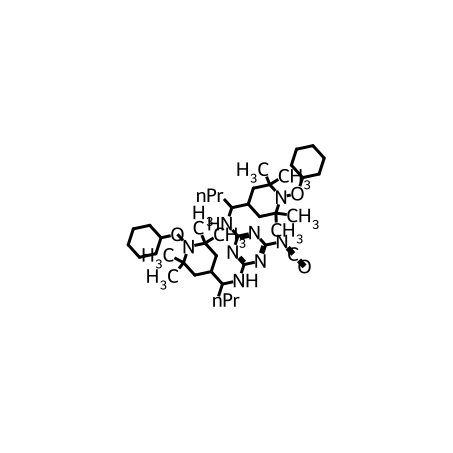 CCCC(Nc1nc(N=C=O)nc(NC(CCC)C2CC(C)(C)N(OC3CCCCC3)C(C)(C)C2)n1)C1CC(C)(C)N(OC2CCCCC2)C(C)(C)C1